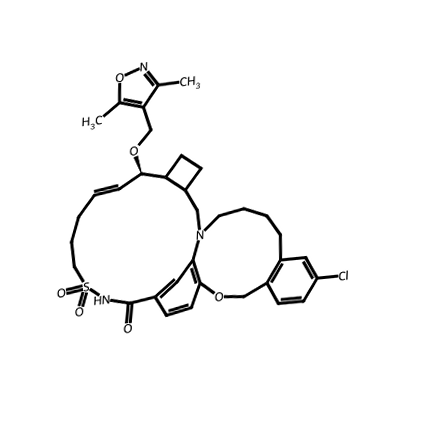 Cc1noc(C)c1CO[C@@H]1/C=C/CCCS(=O)(=O)NC(=O)c2ccc3c(c2)N(CCCCc2cc(Cl)ccc2CO3)CC2CCC21